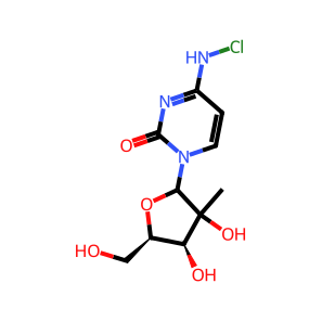 CC1(O)C(n2ccc(NCl)nc2=O)O[C@H](CO)[C@@H]1O